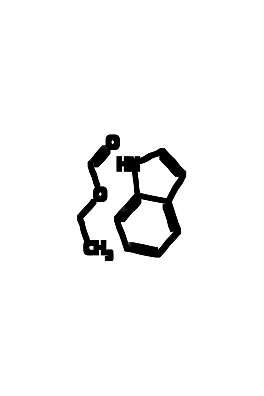 CCOC=O.c1ccc2[nH]ccc2c1